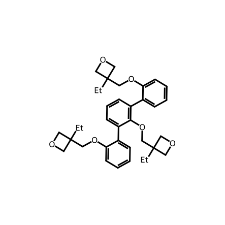 CCC1(COc2ccccc2-c2cccc(-c3ccccc3OCC3(CC)COC3)c2OCC2(CC)COC2)COC1